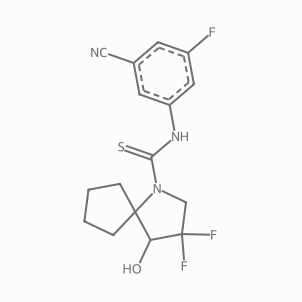 N#Cc1cc(F)cc(NC(=S)N2CC(F)(F)C(O)C23CCCC3)c1